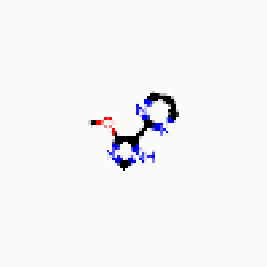 COc1n[c][nH]c1-c1ncccn1